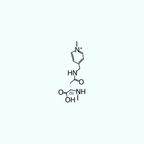 O=C(C[C@H](NI)C(=O)O)NCc1cc[n+](I)cc1